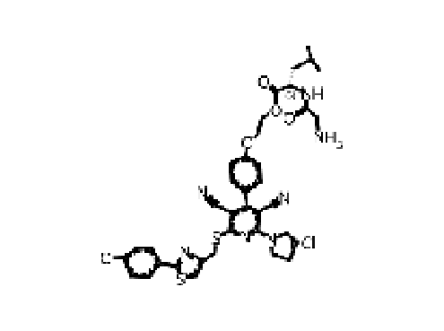 CC(C)C[C@H](NC(=O)CN)C(=O)OCCOc1ccc(-c2c(C#N)c(SCc3csc(-c4ccc(Cl)cc4)n3)nc(N3CCCC3)c2C#N)cc1.Cl